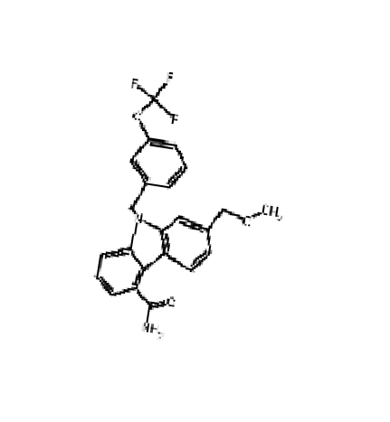 COCc1c[c]c2c3c(C(N)=O)cccc3n(Cc3cccc(OC(F)(F)F)c3)c2c1